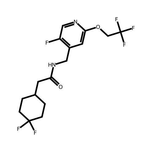 O=C(CC1CCC(F)(F)CC1)NCc1cc(OCC(F)(F)F)ncc1F